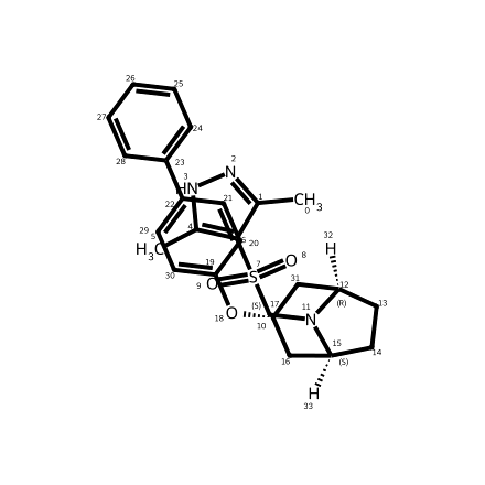 Cc1n[nH]c(C)c1S(=O)(=O)CN1[C@@H]2CC[C@H]1C[C@H](Oc1ccc(-c3ccccc3)cc1)C2